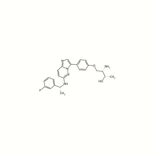 C[C@H](O)[C@@H](N)COc1ccc(-c2cnc3ccc(N[C@H](C)c4cccc(F)c4)nn23)cc1